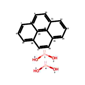 OBO.OBO.c1cc2ccc3cccc4ccc(c1)c2c34